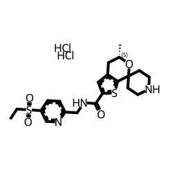 CCS(=O)(=O)c1ccc(CNC(=O)c2cc3c(s2)C2(CCNCC2)O[C@@H](C)C3)nc1.Cl.Cl